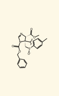 COC(=O)[C@H]1N=CN(C(=O)OCc2ccccc2)[C@]1(C[S@+]([O-])c1ccc(C)cc1)C(F)F